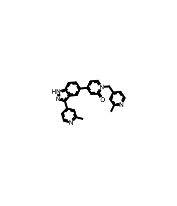 Cc1cc(Cn2ccc(-c3ccc4[nH]nc(-c5ccnc(C)c5)c4c3)cc2=O)ccn1